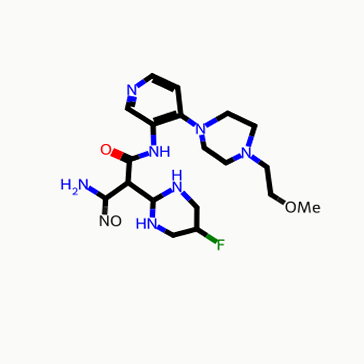 COCCN1CCN(c2ccncc2NC(=O)C(C(N)N=O)C2NCC(F)CN2)CC1